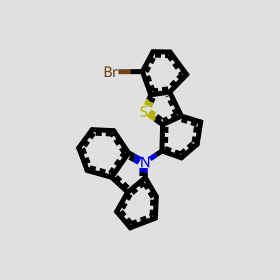 Brc1cccc2c1sc1c(-n3c4ccccc4c4ccccc43)cccc12